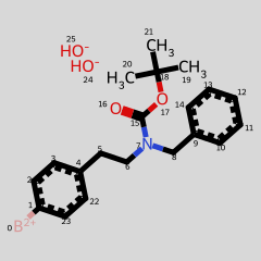 [B+2]c1ccc(CCN(Cc2ccccc2)C(=O)OC(C)(C)C)cc1.[OH-].[OH-]